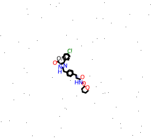 COC(=O)c1[nH]c(Cc2ccc(/C=C/C(=O)NOC3CCCCO3)cc2)nc1-c1ccc(Cl)cc1